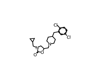 O=C1OC(CN2CCC(Cc3cc(Cl)ccc3Cl)CC2)CN1CC1CC1